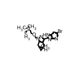 C[C@@]12Cc3c(c(-c4nc5ncc(Br)cc5[nH]4)nn3COCC[Si](C)(C)C)C[C@@H]1C2